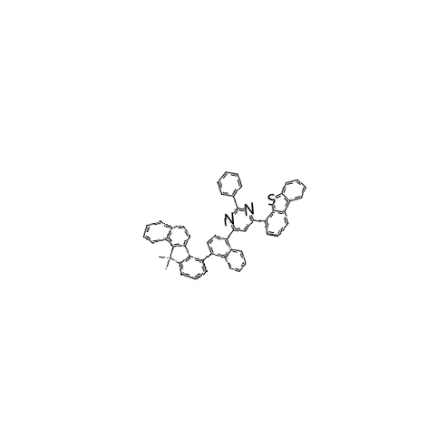 CC1(C)c2cccc(-c3ccc(-c4cc(-c5cccc6c5sc5ccccc56)nc(-c5ccccc5)n4)c4ccccc34)c2-c2ccc3ccccc3c21